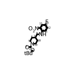 CC(C)(C)OC(=O)N1CCC(CNc2ccc(F)cc2[N+](=O)[O-])CC1